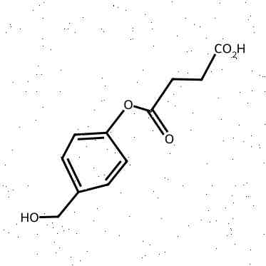 O=C(O)CCC(=O)Oc1ccc(CO)cc1